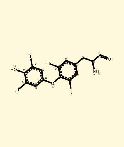 NC([C]=O)Cc1cc(I)c(Oc2cc(I)c(O)c(I)c2)c(I)c1